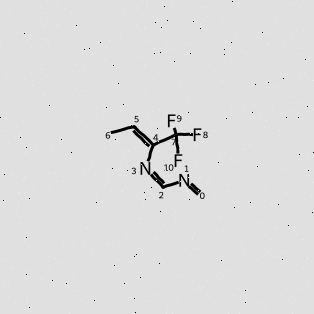 C=N/C=N\C(=C/C)C(F)(F)F